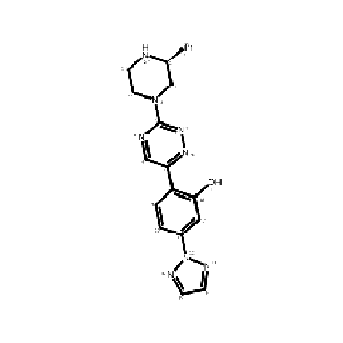 CC(C)[C@H]1CN(c2ncc(-c3ccc(-n4nccn4)cc3O)nn2)CCN1